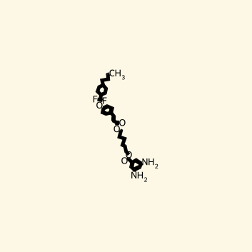 CCCCC1CCC(C(F)(F)Oc2ccc(C=CC(=O)OCCCCCCOC(=O)c3cc(N)cc(N)c3)cc2)CC1